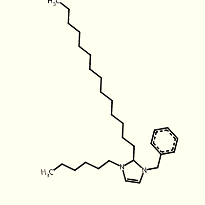 CCCCCCCCCCCCCCC1N(CCCCCC)C=CN1Cc1ccccc1